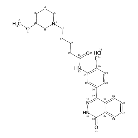 COC1CCCN(CCCCC(=O)Nc2cc(-c3n[nH]c(=O)c4ccccc34)ccc2F)C1.Cl